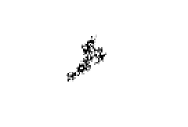 N#CC1(NC(=O)[C@@H]2C[C@@H](S(=O)(=O)c3ccc(OCC(F)(F)F)cc3Cl)CN2C(=O)C2(c3ncc(Cl)cc3F)CC2)CC1